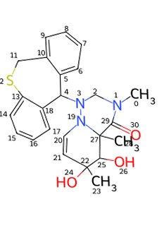 CN1CN(C2c3ccccc3CSc3ccccc32)N2C=CC(C)(O)C(O)C2(C)C1=O